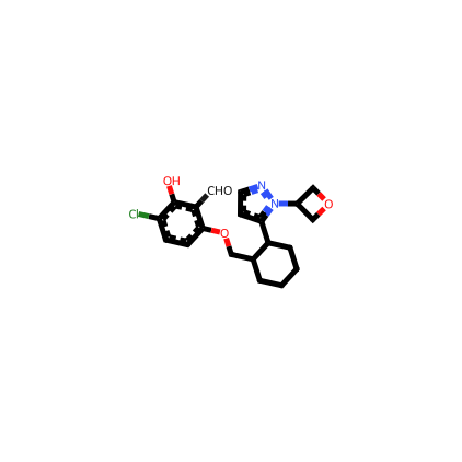 O=Cc1c(OCC2CCCCC2c2ccnn2C2COC2)ccc(Cl)c1O